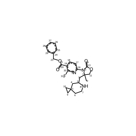 CC1(CC2CC3(CCN2)CC3)COC(=O)N1c1ccc(C(=O)OCc2ccccc2)c(F)n1